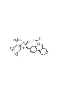 NC[C@H](C(=O)Nc1ccc(N2CCOCC2=O)c(OC(F)F)c1)N(CC1CC1)CC(F)(F)F